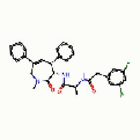 C[C@H](NC(=O)Cc1cc(F)cc(F)c1)C(=O)N[C@@H]1C(=O)N(C)CC(c2ccccc2)=C[C@H]1c1ccccc1